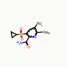 COc1nc(C(N)=O)c(S(=O)(=O)C2CC2)cc1[N+](=O)[O-]